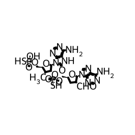 CC1[C@@H](O[P@](=O)(S)OC[C@@H]2CC(C=O)[C@H](n3cnc4c(N)ncnc43)O2)[C@H](n2c(=O)[nH]c3c(N)ncnc32)O[C@@H]1CO[P@@](=O)(O)S